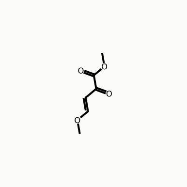 COC=CC(=O)C(=O)OC